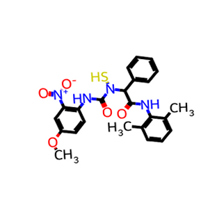 COc1ccc(NC(=O)N(S)C(C(=O)Nc2c(C)cccc2C)c2ccccc2)c([N+](=O)[O-])c1